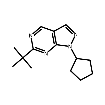 CC(C)(C)c1ncc2cnn(C3CCCC3)c2n1